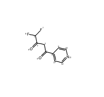 O=C(CC(=O)C(F)F)c1ccncc1